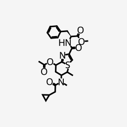 COC(=O)[C@H](Cc1ccccc1)NC(=O)c1csc(C(CC(C(C)C)N(C)C(=O)CC2CC2)OC(C)=O)n1